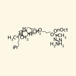 CCCCCCCCOC(OCCCCOC1CC[C@]2(C)C(=CC[C@@H]3[C@H]4CC[C@@H]([C@@H](C)CCCC(C)C)[C@]4(C)CC[C@H]32)C1)[C@@H](C)N=C(N)N